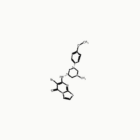 COc1ccc([C@H]2C[C@@H](Nc3nc4sccn4c(=O)c3Br)CN(C)C2)cc1